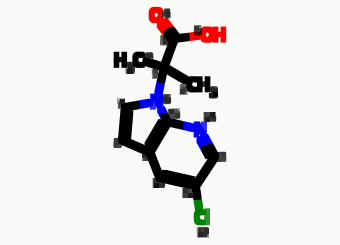 CC(C)(C(=O)O)n1ccc2cc(Cl)cnc21